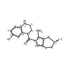 Nc1c2c(nn1C(=O)C1CCNc3ccc(F)cc31)CC[C@H](F)C2